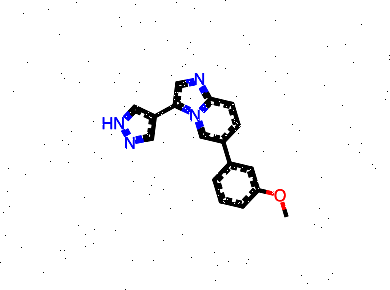 COc1cccc(-c2ccc3ncc(-c4cn[nH]c4)n3c2)c1